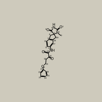 CN1C(=O)NC(=O)C12Cc1ccc(NC(=O)C(=O)CCOc3ccccc3)cc1C2